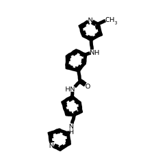 Cc1cc(Nc2cccc(C(=O)Nc3ccc(Nc4ccncc4)cc3)c2)ccn1